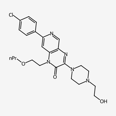 CCCOCCn1c(=O)c(N2CCN(CCO)CC2)nc2cnc(-c3ccc(Cl)cc3)cc21